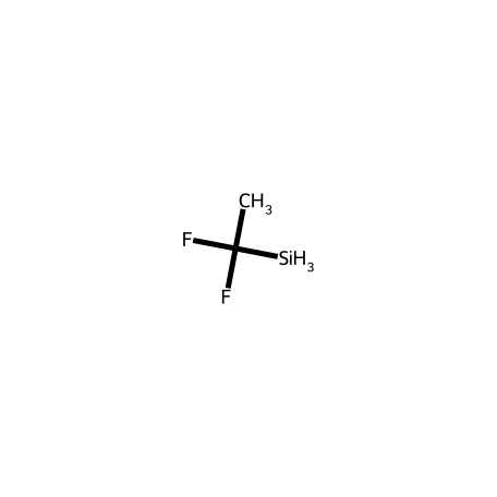 CC(F)(F)[SiH3]